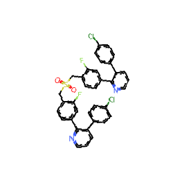 O=S(=O)(Cc1ccc(-c2ncccc2-c2ccc(Cl)cc2)cc1F)Cc1ccc(-c2ncccc2-c2ccc(Cl)cc2)cc1F